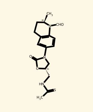 CC(=S)NC[C@H]1CN(c2ccc3c(c2)CC[C@@H](C)N3C=O)C(=O)O1